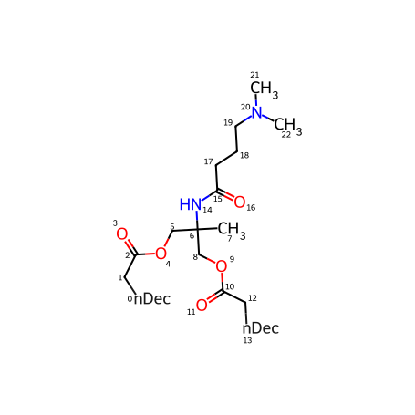 CCCCCCCCCCCC(=O)OCC(C)(COC(=O)CCCCCCCCCCC)NC(=O)CCCN(C)C